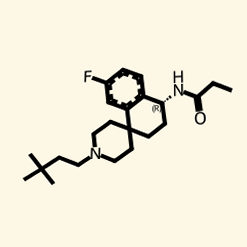 CCC(=O)N[C@@H]1CCC2(CCN(CCC(C)(C)C)CC2)c2cc(F)ccc21